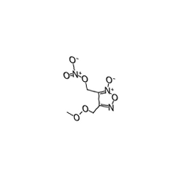 COOCc1no[n+]([O-])c1CO[N+](=O)[O-]